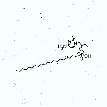 CCCCCCCCCCCCCCCCOCCCOP(=O)(O)CO[C@H](CC)Cn1ccc(N)nc1=O